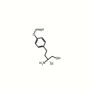 CCCCCCCOc1ccc(CC[C@@](N)(CC)CO)cc1